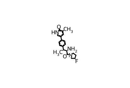 Cc1cc(-c2ccc([C@H](C)[C@H](N)C(=O)N3CC[C@H](F)C3)cc2)c[nH]c1=O